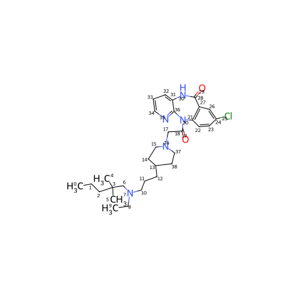 CCCC(C)(C)CN(CC)CCCC1CCN(CC(=O)N2c3ccc(Cl)cc3C(=O)Nc3cccnc32)CC1